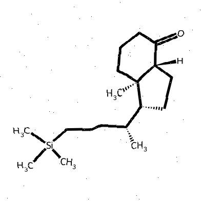 C[C@H](CCC[Si](C)(C)C)[C@H]1CC[C@H]2C(=O)CCC[C@]12C